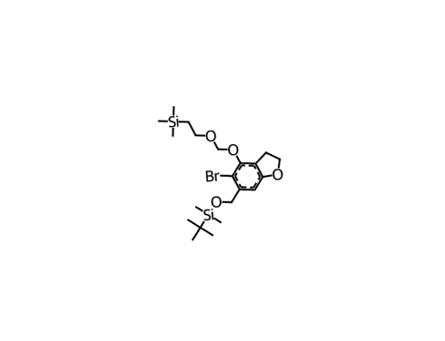 CC(C)(C)[Si](C)(C)OCc1cc2c(c(OCOCC[Si](C)(C)C)c1Br)CCO2